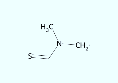 [CH2]N(C)C=S